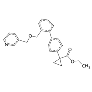 CCOC(=O)C1(c2ccc(-c3ccccc3COCc3cccnc3)cc2)CC1